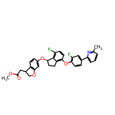 COC(=O)CC1COc2cc(O[C@@H]3CCc4c(Oc5ccc(-c6cccc(C)n6)cc5F)ccc(F)c43)ccc21